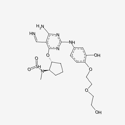 CN([C@@H]1CCC[C@H]1Oc1nc(Nc2ccc(OCCOCCO)c(O)c2)nc(N)c1C=N)[SH](=O)=O